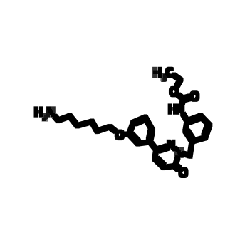 CCOC(=O)Nc1cccc(Cn2nc(-c3cccc(OCCCCCCN)c3)ccc2=O)c1